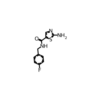 Nc1ncc(C(=O)NCc2ccc(F)cc2)s1